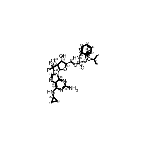 CC(C)OC(=O)[C@H](C)N[P@@](=O)(OC[C@H]1O[C@@H](n2cnc3c(NC4CC4)nc(N)nc32)[C@@](Cl)(C(F)(F)F)[C@@H]1O)Oc1ccccc1